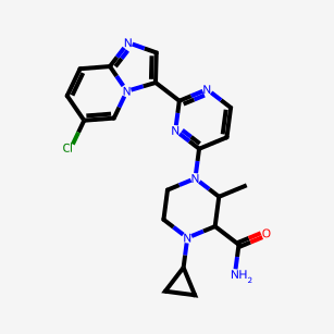 CC1C(C(N)=O)N(C2CC2)CCN1c1ccnc(-c2cnc3ccc(Cl)cn23)n1